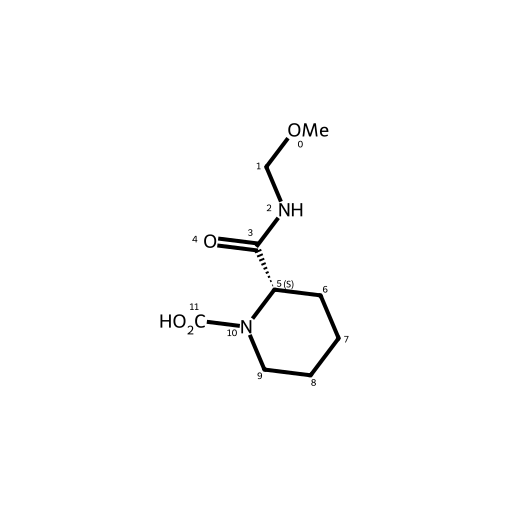 COCNC(=O)[C@@H]1CCCCN1C(=O)O